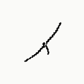 CCCCCCCCCCCCCCCCCCCN1C=CN(CCCCCCCCCCCCCCCCCC)C1CCCCCC